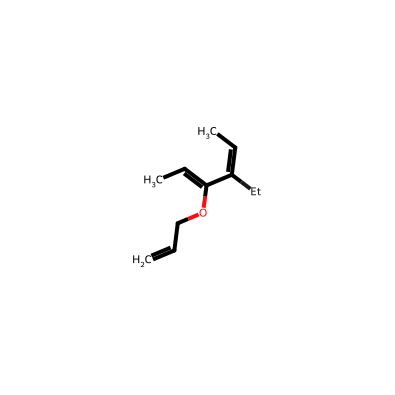 C=CCOC(=CC)C(=CC)CC